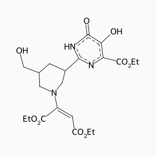 CCOC(=O)C=C(C(=O)OCC)N1CC(CO)CC(c2nc(C(=O)OCC)c(O)c(=O)[nH]2)C1